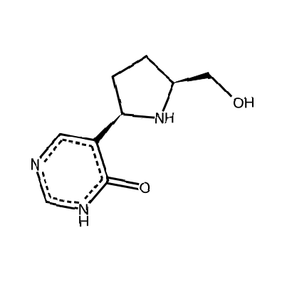 O=c1[nH]cncc1[C@H]1CC[C@@H](CO)N1